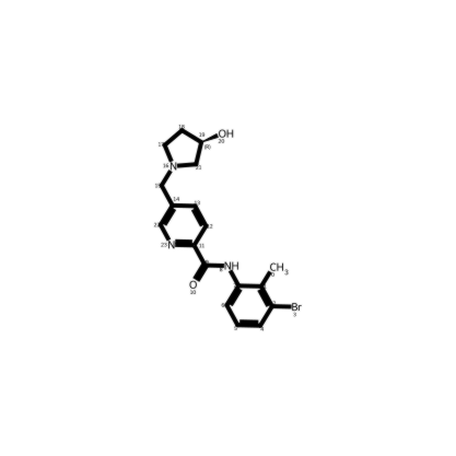 Cc1c(Br)cccc1NC(=O)c1ccc(CN2CC[C@@H](O)C2)cn1